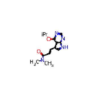 CC(C)Oc1ncnc2[nH]cc(/C=C/C(=O)N(C)C)c12